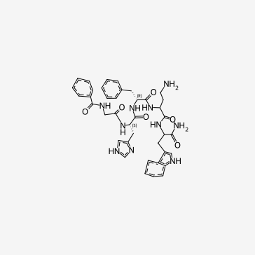 NCCC(NC(=O)[C@@H](Cc1ccccc1)NC(=O)[C@H](Cc1c[nH]cn1)NC(=O)CNC(=O)c1ccccc1)C(=O)NC(Cc1c[nH]c2ccccc12)C(N)=O